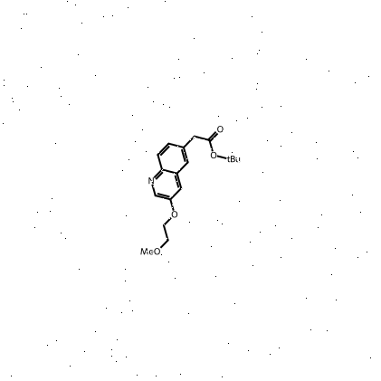 COCCOc1cnc2ccc(CC(=O)OC(C)(C)C)cc2c1